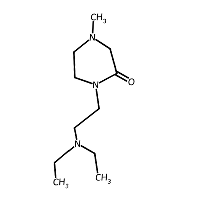 CCN(CC)CCN1CCN(C)CC1=O